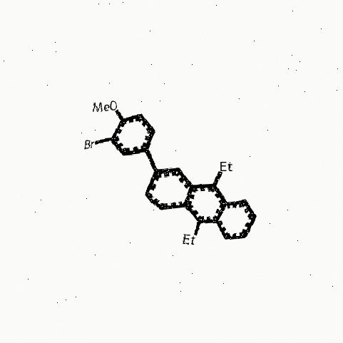 CCc1c2ccccc2c(CC)c2cc(-c3ccc(OC)c(Br)c3)ccc12